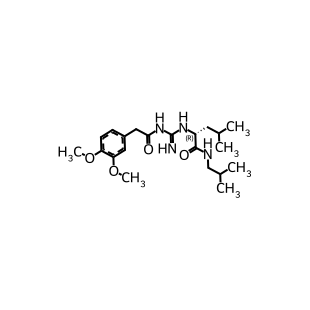 COc1ccc(CC(=O)NC(=N)N[C@H](CC(C)C)C(=O)NCC(C)C)cc1OC